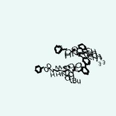 COC(=O)[C@H](Cc1cccc(-c2ccc(OCc3ccccc3)c(C[C@@](CC[Si](C)(C)C)(NC(=O)OCc3ccccc3)C(=O)O)c2)c1)NC(=O)[C@H](CCCNC(=O)OCc1ccccc1)NC(=O)OC(C)(C)C